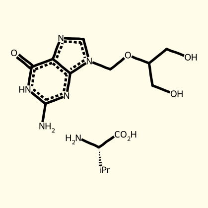 CC(C)[C@H](N)C(=O)O.Nc1nc2c(ncn2COC(CO)CO)c(=O)[nH]1